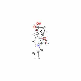 COC12CCC(=O)C[C@@]13CCN(CC1CCC1)[C@@H]2Cc1ccc(O)cc13